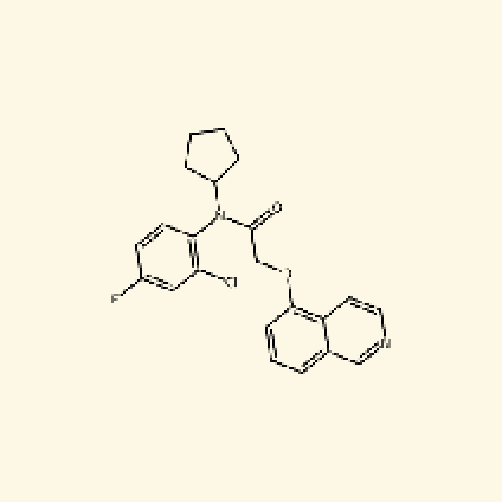 O=C(COc1cccc2cnccc12)N(c1ccc(F)cc1Cl)C1CCCC1